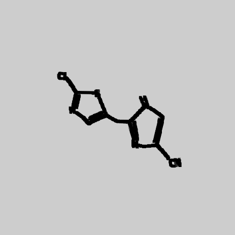 N#Cc1c[nH]c(-c2cnc(Cl)s2)n1